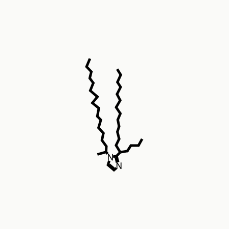 CCCCCCCCCCCCCCCC(C)n1ccnc1C(CCCC)CCCCCCCCCCCCC